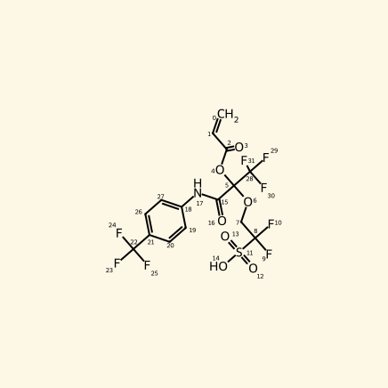 C=CC(=O)OC(OCC(F)(F)S(=O)(=O)O)(C(=O)Nc1ccc(C(F)(F)F)cc1)C(F)(F)F